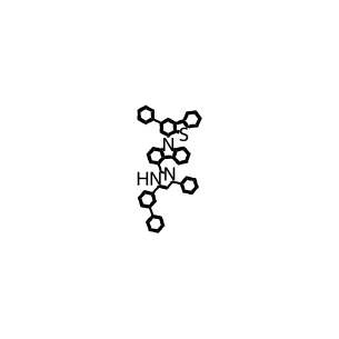 C1=C(c2cccc(-c3ccccc3)c2)NC(c2cccc3c2c2ccccc2n3-c2cc(-c3ccccc3)cc3c2sc2ccccc23)N=C1c1ccccc1